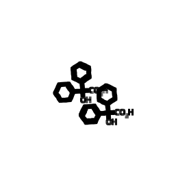 O=C(O)C(O)(C1=CCCCC1)c1ccccc1.O=C(O)C(O)(c1ccccc1)C1CCCCC1